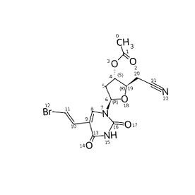 CC(=O)O[C@H]1C[C@H](n2cc(C=CBr)c(=O)[nH]c2=O)O[C@@H]1CC#N